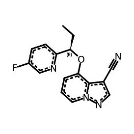 CC[C@@H](Oc1cccn2ncc(C#N)c12)c1ccc(F)cn1